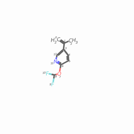 C=C(C)c1ccc(OC(F)F)nc1